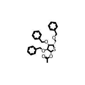 CC(=O)O[C@H]1S[C@@H](COCc2ccccc2)[C@@H](OCc2ccccc2)[C@@H]1OCc1ccccc1